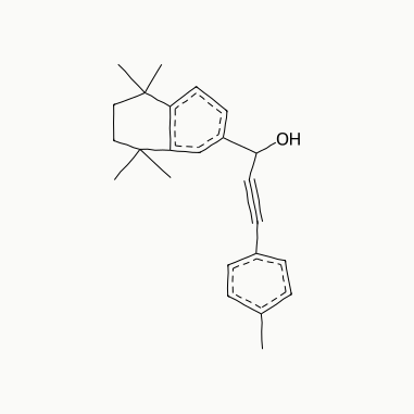 Cc1ccc(C#CC(O)c2ccc3c(c2)C(C)(C)CCC3(C)C)cc1